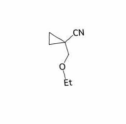 CCOCC1(C#N)CC1